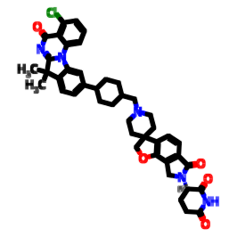 CC1(C)c2ccc(C3CCC(CN4CCC5(CC4)COc4c5ccc5c4CN([C@H]4CCC(=O)NC4=O)C5=O)CC3)cc2-n2c1nc(=O)c1c(Cl)cccc12